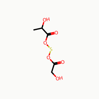 CC(O)C(=O)OSOC(=O)CO